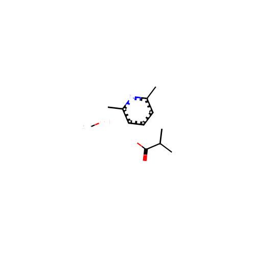 CC(C)C(=O)O.Cc1cccc(C)n1.[OH][Ag]